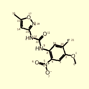 COc1cc([N+](=O)[O-])c(NC(=O)Nc2cc(C)on2)cc1F